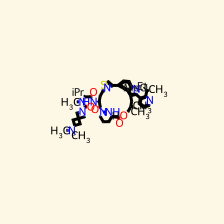 CCn1c(-c2cccnc2[C@H](C)OC)c2c3cc(ccc31)-c1csc(n1)C[C@H](NC(=O)[C@H](C(C)C)N(C)C(=O)N1CC3(CC(N(C)C)C3)C1)C(=O)N1CCC[C@H](N1)C(=O)OCC(C)(C)C2